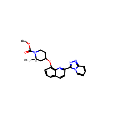 CC(C)(C)OC(=O)N1CCC(Oc2cccc3ccc(-c4nnc5ccccn45)nc23)C[C@H]1C(=O)O